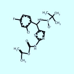 C=C(C)OC(=O)Nc1ncc(C(N[S@+]([O-])C(C)(C)C)c2ccc(F)cc2Cl)s1